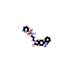 CN(C)C1(c2ccccc2)CCC2(CC1)CC(=O)N(CCCNS(=O)(=O)c1ccccn1)C2